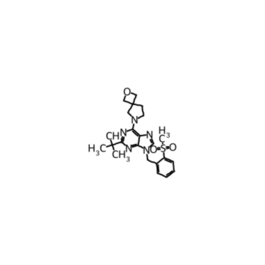 CC(C)(C)c1nc(N2CCC3(COC3)C2)c2ncn(Cc3ccccc3S(C)(=O)=O)c2n1